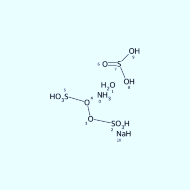 N.O.O=S(=O)(O)OOS(=O)(=O)O.O=S(O)O.[NaH]